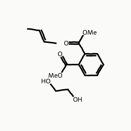 CC=CC.COC(=O)c1ccccc1C(=O)OC.OCCO